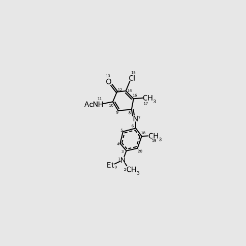 CCN(C)c1ccc(/N=C2\C=C(NC(C)=O)C(=O)C(Cl)=C2C)c(C)c1